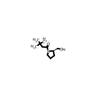 CC(C)(C)CC(=O)N1CCC[C@@H]1CO